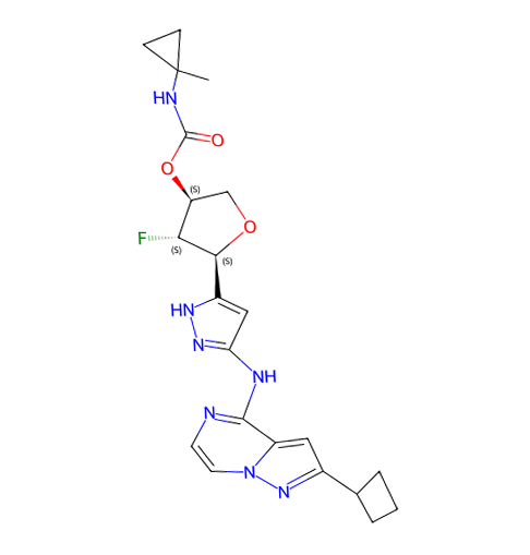 CC1(NC(=O)O[C@H]2CO[C@@H](c3cc(Nc4nccn5nc(C6CCC6)cc45)n[nH]3)[C@@H]2F)CC1